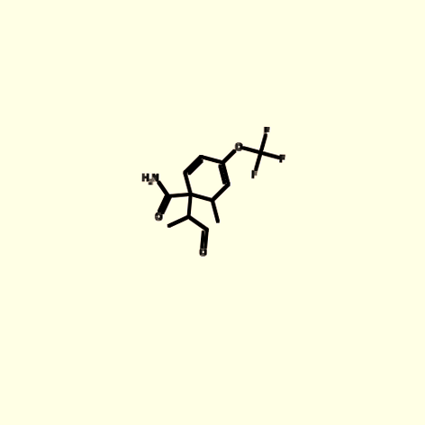 CC(C=O)C1(C(N)=O)C=CC(OC(F)(F)F)=CC1C